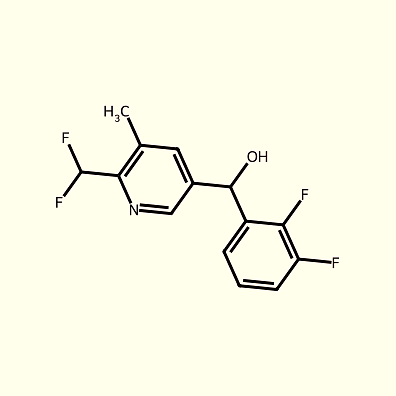 Cc1cc(C(O)c2cccc(F)c2F)cnc1C(F)F